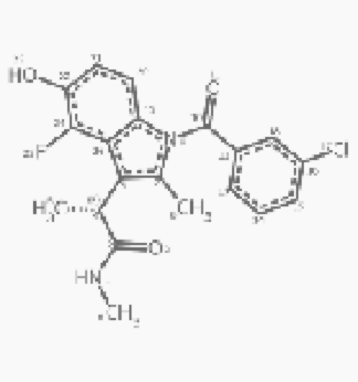 CNC(=O)[C@H](C)c1c(C)n(C(=O)c2cccc(Cl)c2)c2ccc(O)c(F)c12